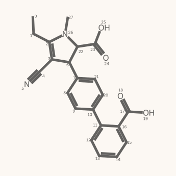 CCC1=C(C#N)C(c2ccc(-c3ccccc3C(=O)O)cc2)C(C(=O)O)N1C